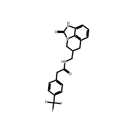 O=C(Cc1ccc(C(F)(F)F)cc1)NCC1Cc2cccc3[nH]c(=O)n(c23)C1